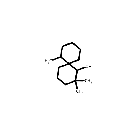 CC1CCCCC12CCCC(C)(C)C2O